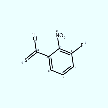 O=[N+]([O-])c1c(F)cccc1C(=S)Cl